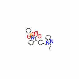 CCCc1nc2ccccc2n1Cc1ccc(-c2c(C(=O)OC)n(S(=O)(=O)c3ccccc3)c3ccccc23)cc1